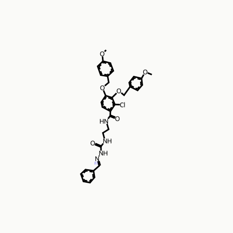 COc1ccc(COc2ccc(C(=O)NCCNC(=O)N/N=C/c3ccccc3)c(Cl)c2OCc2ccc(OC)cc2)cc1